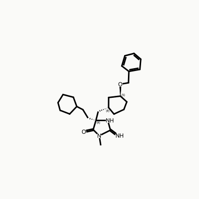 CN1C(=N)N[C@](CCC2CCCCC2)(C[C@H]2CCC[C@H](OCc3ccccc3)C2)C1=O